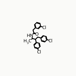 CC(NC(=O)Cc1cccc(Cl)c1)C(Cc1ccc(Cl)cc1)c1ccc(Cl)cc1